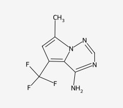 Cc1cc(C(F)(F)F)c2c(N)ncnn12